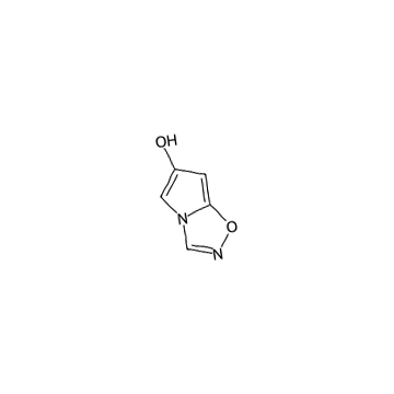 Oc1cc2oncn2c1